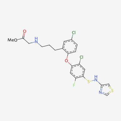 COC(=O)CNCCCc1cc(Cl)ccc1Oc1cc(F)c(SNc2cscn2)cc1Cl